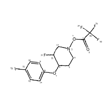 O=C(ON1CCC(Oc2ccc(I)cc2)C(F)C1)C(F)(F)F